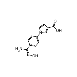 N/C(=N/O)c1ccc(-n2ccc(C(=O)O)c2)cc1